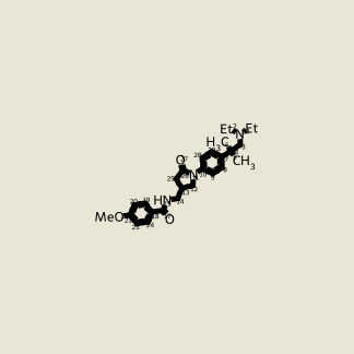 CCN(CC)CC(C)(C)c1ccc(N2CC(CNC(=O)c3ccc(OC)cc3)CC2=O)cc1